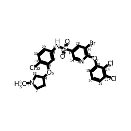 CN1CCC(Oc2cc(NS(=O)(=O)c3cnc(Oc4cccc(Cl)c4Cl)c(Br)c3)ccc2Cl)C1